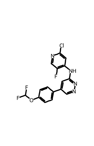 Fc1cnc(Cl)cc1Nc1cc(-c2ccc(OC(F)F)cc2)cnn1